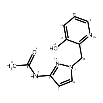 CC(=O)Nc1ccn(Cc2ncccc2O)n1